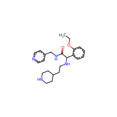 CCOc1ccccc1C(NCCC1CCNCC1)C(=O)NCc1ccncc1